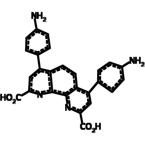 Nc1ccc(-c2cc(C(=O)O)nc3c2ccc2c(-c4ccc(N)cc4)cc(C(=O)O)nc23)cc1